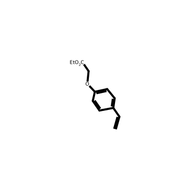 C=Cc1ccc(OCC(=O)OCC)cc1